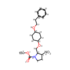 CC(C)(C)OC(=O)N1CCC([N+](=O)[O-])C1COC1CCC(OCCc2ccccc2)CC1